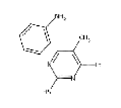 CCc1nc(S)ncc1C.Nc1ccccc1